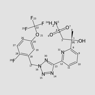 C[C@](O)(CS(N)(=O)=O)c1cccc(-c2nnn(Cc3cc(OC(F)(F)F)ccc3F)n2)n1